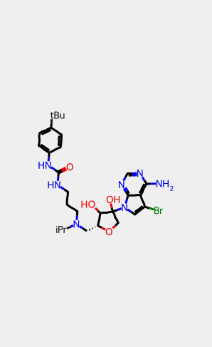 CC(C)N(CCCNC(=O)Nc1ccc(C(C)(C)C)cc1)C[C@H]1OCC(O)(n2cc(Br)c3c(N)ncnc32)C1O